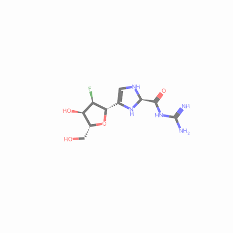 N=C(N)NC(=O)[C@@H]1NC=C([C@@H]2O[C@H](CO)[C@@H](O)[C@H]2F)N1